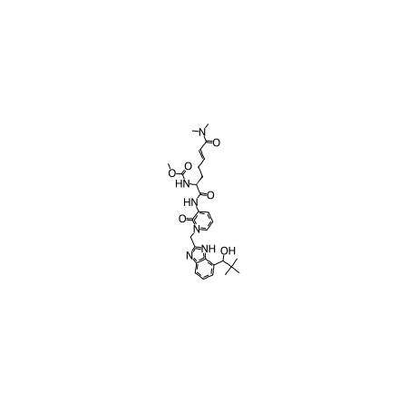 COC(=O)N[C@@H](CC/C=C/C(=O)N(C)C)C(=O)Nc1cccn(Cc2nc3cccc(C(O)C(C)(C)C)c3[nH]2)c1=O